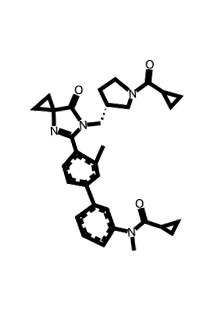 Cc1cc(-c2cccc(N(C)C(=O)C3CC3)c2)ccc1C1=NC2(CC2)C(=O)N1C[C@@H]1CCN(C(=O)C2CC2)C1